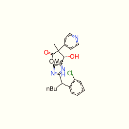 CCCCC(c1ncc(C(O)C(C)(C(=O)OC)c2ccncc2)[nH]1)c1ccccc1Cl